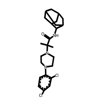 CC(C)(C(=O)NC1C2CC3CC(C2)CC1C3)N1CCN(c2ccc(Cl)cc2Cl)CC1